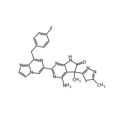 Cc1nnc(C2(C)C(=O)Nc3nc(-c4cn5ccnc5c(Cc5ccc(F)cc5)n4)nc(N)c32)s1